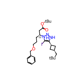 CC(C)(C)C[C@H]1C[C@@H](C2=C(I)N([C@@H](CCCOCc3ccccc3)CC(=O)OC(C)(C)C)NN2)C1